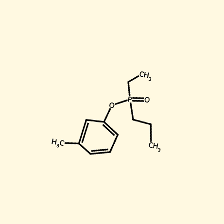 CCCP(=O)(CC)Oc1cccc(C)c1